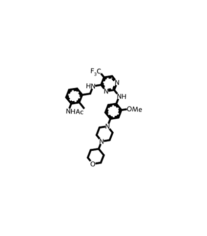 COc1cc(N2CCN(C3CCOCC3)CC2)ccc1Nc1ncc(C(F)(F)F)c(NCc2cccc(NC(C)=O)c2C)n1